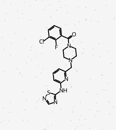 O=C(c1cccc(Cl)c1F)N1CCN(Cc2cccc(Nc3ncns3)n2)CC1